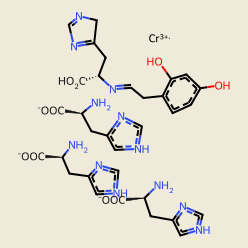 N[C@@H](Cc1c[nH]cn1)C(=O)[O-].N[C@@H](Cc1c[nH]cn1)C(=O)[O-].N[C@@H](Cc1c[nH]cn1)C(=O)[O-].O=C(O)[C@H](CC1=NC=NC1)N=CCc1ccc(O)cc1O.[Cr+3]